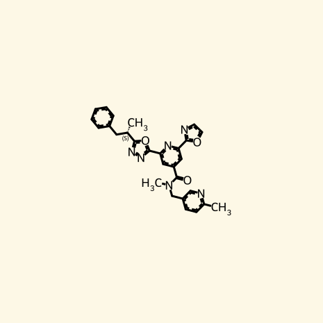 Cc1ccc(CN(C)C(=O)c2cc(-c3ncco3)nc(-c3nnc([C@@H](C)Cc4ccccc4)o3)c2)cn1